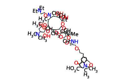 CC[C@H]1OC(=O)[C@H](C)[C@@H](O[C@H]2C[C@@](C)(OC)[C@@H](OC(=O)NCCOCCCc3cc4c5c(c3)c(=O)c(C(=O)O)cn5C(C)(C)OC4)[C@H](C)O2)[C@H](C)[C@@H](OC2O[C@H](C)C[C@H](N(C)C)[C@H]2O)[C@](C)(O)C[C@@H](C)/C(=N\OCCN(CC)CC)[C@H](C)[C@@H](O)[C@]1(C)O